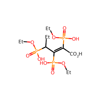 CCOP(=O)(O)/C(C(=O)O)=C(\C(CC)P(=O)(O)OCC)P(=O)(O)OCC